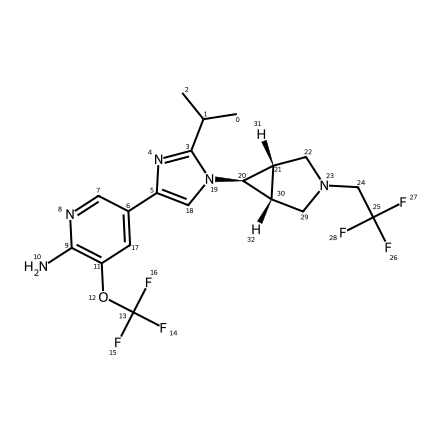 CC(C)c1nc(-c2cnc(N)c(OC(F)(F)F)c2)cn1[C@H]1[C@@H]2CN(CC(F)(F)F)C[C@@H]21